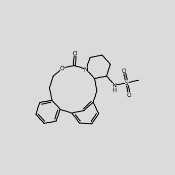 CS(=O)(=O)NC1CCCN2C(=O)OCCc3ccccc3-c3cccc(c3)CC12